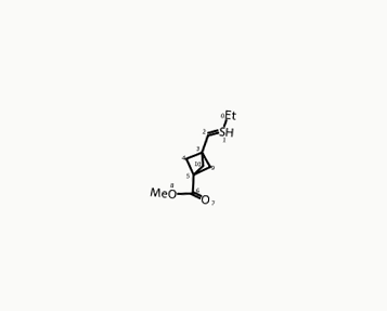 CC[SH]=CC12CC(C(=O)OC)(C1)C2